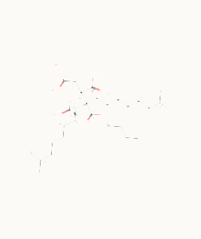 CCCCOC(=O)C(CCCCCCC(C)C)(CCCCCCC(C)C)C(CC(=O)O)(OC(C)=O)C(=O)O